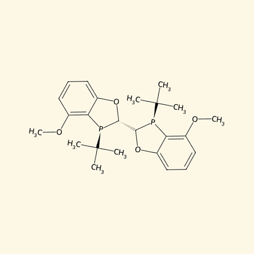 COc1cccc2c1[P@](C(C)(C)C)C([C@H]1Oc3cccc(OC)c3[P@]1C(C)(C)C)O2